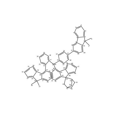 CC1(C)c2ccccc2-c2cc(-c3ccc(N(c4ccccc4-c4cccc5c4-c4ccccc4C5(C)C)c4cccc5c4-c4ccccc4C54CC5CCC4C5)cc3)ccc21